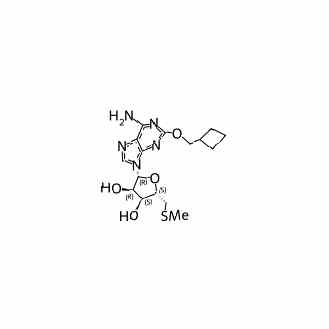 CSC[C@H]1O[C@@H](n2cnc3c(N)nc(OCC4CCC4)nc32)[C@H](O)[C@@H]1O